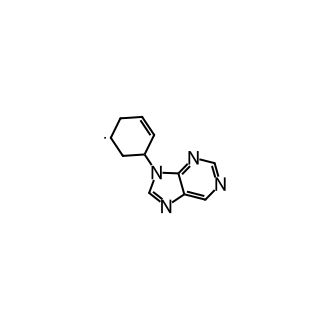 [CH]1CC=CC(n2cnc3cncnc32)C1